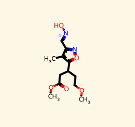 COCCC(CC(=O)OC)c1onc(/C=N/O)c1C